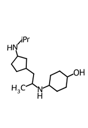 CC(C)NC1CCC(CC(C)NC2CCC(O)CC2)C1